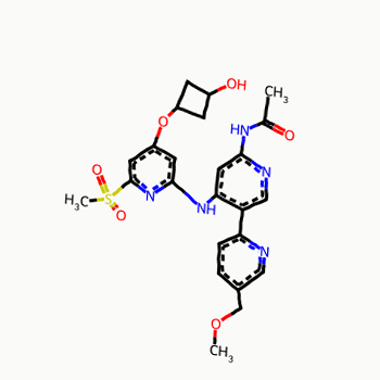 COCc1ccc(-c2cnc(NC(C)=O)cc2Nc2cc(OC3CC(O)C3)cc(S(C)(=O)=O)n2)nc1